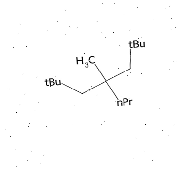 CCCC(C)(CC(C)(C)C)CC(C)(C)C